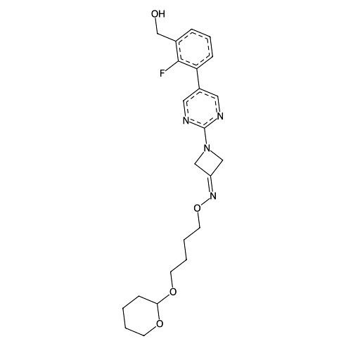 OCc1cccc(-c2cnc(N3CC(=NOCCCCOC4CCCCO4)C3)nc2)c1F